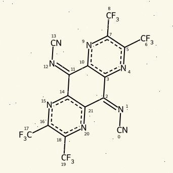 N#CN=C1c2nc(C(F)(F)F)c(C(F)(F)F)nc2C(=NC#N)c2nc(C(F)(F)F)c(C(F)(F)F)nc21